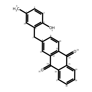 Cc1ccc(O)c(Cc2ccc3c(c2)C(=O)c2ccccc2C3=O)c1